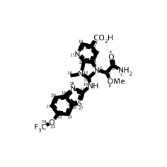 COC(C(N)=O)N1c2cc(C(=O)O)cnc2N(C)C1Nc1nc2ccc(OC(F)(F)F)cc2s1